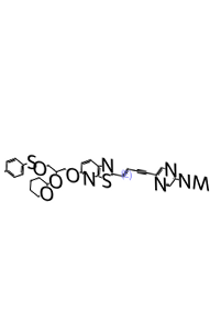 CNc1cnc(C#C/C=C/c2nc3ccc(OCC(COSc4ccc(C)cc4)OC4CCCCO4)nc3s2)cn1